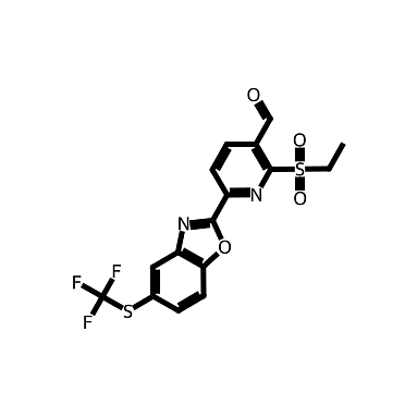 CCS(=O)(=O)c1nc(-c2nc3cc(SC(F)(F)F)ccc3o2)ccc1C=O